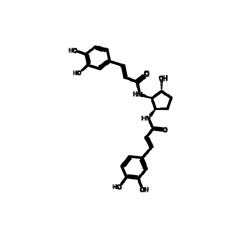 O=C(C=Cc1ccc(O)c(O)c1)N[C@H]1[C@H](O)CC[C@H]1NC(=O)C=Cc1ccc(O)c(O)c1